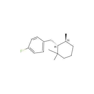 C[C@H]1CCCC(C)(C)[C@@H]1Cc1ccc(F)cc1